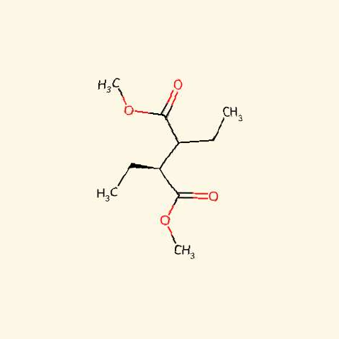 CCC(C(=O)OC)[C@H](CC)C(=O)OC